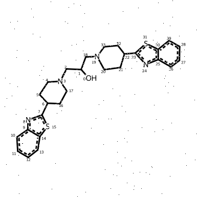 OC(CN1CCC(c2nc3ccccc3s2)CC1)CN1CCC(c2nc3ccccc3s2)CC1